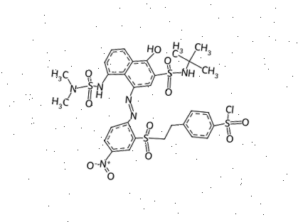 CN(C)S(=O)(=O)Nc1cccc2c(O)c(S(=O)(=O)NC(C)(C)C)cc(N=Nc3ccc([N+](=O)[O-])cc3S(=O)(=O)CCc3ccc(S(=O)(=O)Cl)cc3)c12